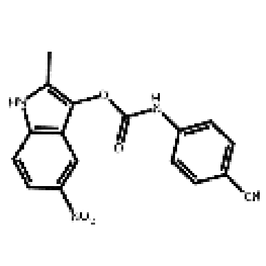 Cc1[nH]c2ccc([N+](=O)[O-])cc2c1OC(=O)Nc1ccc(C#N)cc1